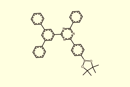 CC1(C)OB(c2ccc(-c3nc(-c4ccccc4)nc(-c4cc(-c5ccccc5)cc(-c5ccccc5)c4)n3)cc2)OC1(C)C